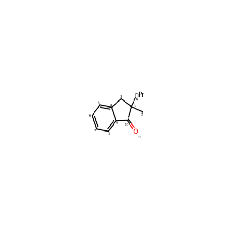 CCCC1(C)Cc2ccccc2C1=O